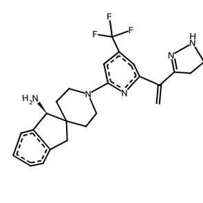 C=C(C1=NNCC1)c1cc(C(F)(F)F)cc(N2CCC3(CC2)Cc2ccccc2[C@H]3N)n1